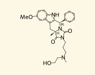 COc1ccc2[nH]c3c(c2c1)C[C@@]1(C)C(=O)N(CCCN(C)CCO)C(=O)N1[C@@H]3c1ccccc1